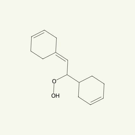 OOC(C=C1CC=CCC1)C1CC=CCC1